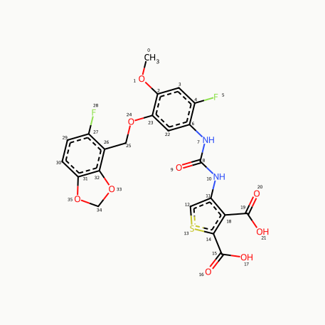 COc1cc(F)c(NC(=O)Nc2csc(C(=O)O)c2C(=O)O)cc1OCc1c(F)ccc2c1OCO2